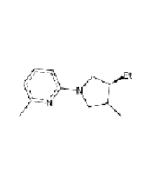 CC[C@@H]1CN(c2cccc(C)n2)CC1C